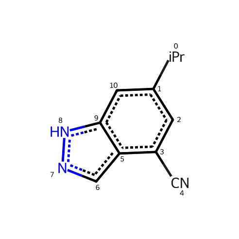 CC(C)c1cc(C#N)c2cn[nH]c2c1